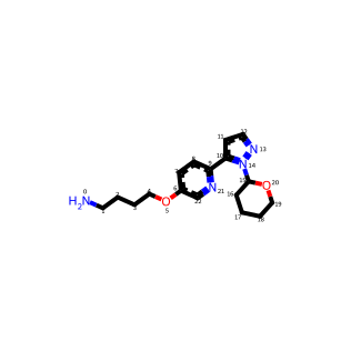 NCCCCOc1ccc(-c2ccnn2C2CCCCO2)nc1